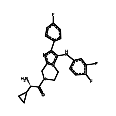 N[C@H](C(=O)N1CCn2c(nc(-c3ccc(F)cc3)c2Nc2ccc(F)c(F)c2)C1)C1CC1